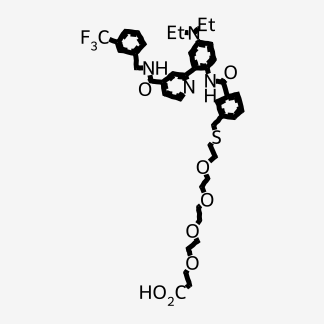 CCN(CC)c1ccc(NC(=O)c2cccc(CSCCOCCOCCOCCOCCC(=O)O)c2)c(-c2cc(C(=O)NCc3cccc(C(F)(F)F)c3)ccn2)c1